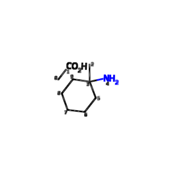 CC(=O)O.CC1(N)CCCCC1